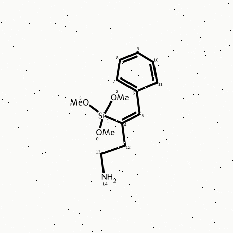 CO[Si](OC)(OC)C(=Cc1ccccc1)CCN